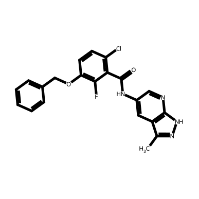 Cc1n[nH]c2ncc(NC(=O)c3c(Cl)ccc(OCc4ccccc4)c3F)cc12